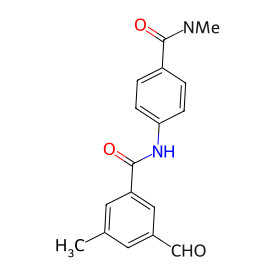 CNC(=O)c1ccc(NC(=O)c2cc(C)cc(C=O)c2)cc1